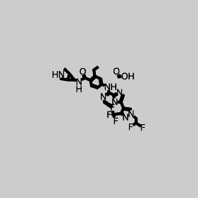 CCc1cc(Nc2nccn3c(-c4cn(CC(F)F)nc4C(F)(F)F)cnc23)ccc1C(=O)NC1C2CNCC21.O=CO